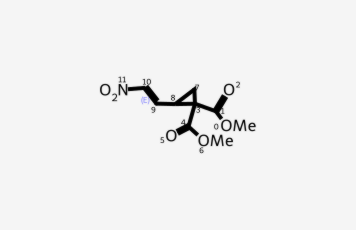 COC(=O)C1(C(=O)OC)CC1/C=C/[N+](=O)[O-]